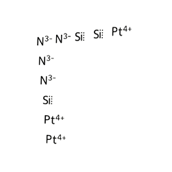 [N-3].[N-3].[N-3].[N-3].[Pt+4].[Pt+4].[Pt+4].[Si].[Si].[Si]